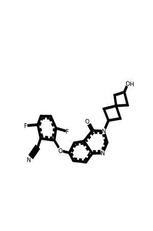 N#Cc1c(F)ccc(F)c1Oc1ccc2ncn(C3CC4(CC(O)C4)C3)c(=O)c2c1